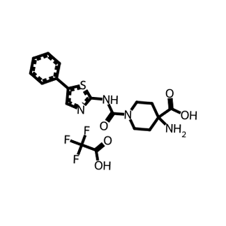 NC1(C(=O)O)CCN(C(=O)Nc2ncc(-c3ccccc3)s2)CC1.O=C(O)C(F)(F)F